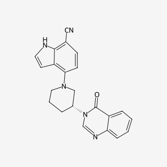 N#Cc1ccc(N2CCC[C@@H](n3cnc4ccccc4c3=O)C2)c2cc[nH]c12